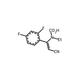 CCN(C(=O)O)C(=CC#N)c1ccc(F)cc1F